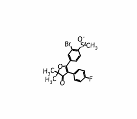 C[S+]([O-])c1ccc(C2=C(c3ccc(F)cc3)C(=O)C(C)(C)O2)cc1Br